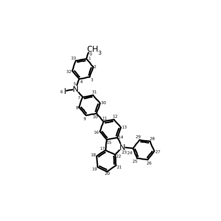 Cc1ccc(N(I)c2ccc(-c3ccc4c(c3)c3ccccc3n4-c3ccccc3)cc2)cc1